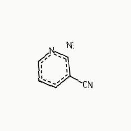 N#Cc1cccnc1.[N]